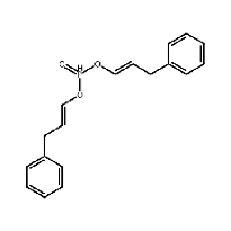 O=[PH](OC=CCc1ccccc1)OC=CCc1ccccc1